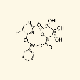 COC(=O)[C@H]1O[C@@H](Oc2ncc(F)c(OCc3ccccc3)n2)[C@H](O)[C@@H](O)[C@@H]1O